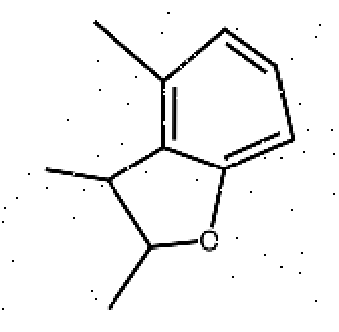 Cc1cccc2c1C(C)C(C)O2